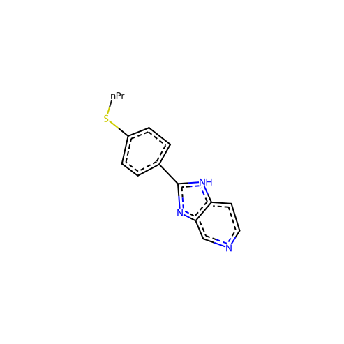 CCCSc1ccc(-c2nc3cnccc3[nH]2)cc1